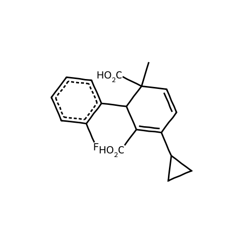 CC1(C(=O)O)C=CC(C2CC2)=C(C(=O)O)C1c1ccccc1F